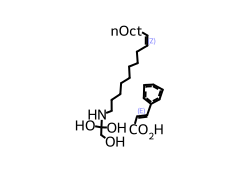 CCCCCCCC/C=C\CCCCCCCCNC(O)(O)CO.O=C(O)/C=C/c1ccccc1